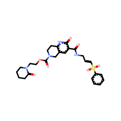 O=C(NC/C=C/S(=O)(=O)c1ccccc1)c1cc2c([nH]c1=O)CCN(C(=O)OCCN1CCCCC1=O)C2